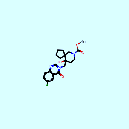 CC(C)(C)OC(=O)N1CCC(O)(Cn2cnc3ccc(F)cc3c2=O)C2(CCCC2)C1